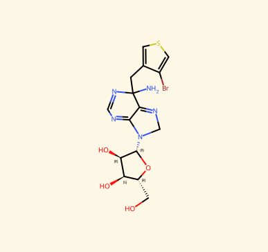 NC1(Cc2cscc2Br)N=CN=C2C1=NCN2[C@@H]1O[C@H](CO)[C@@H](O)[C@H]1O